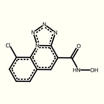 O=C(NO)c1cc2cccc(Cl)c2n2nnnc12